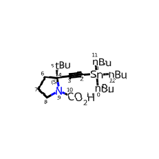 CCC[CH2][Sn]([C]#C[C@@]1(C(C)(C)C)CCCN1C(=O)O)([CH2]CCC)[CH2]CCC